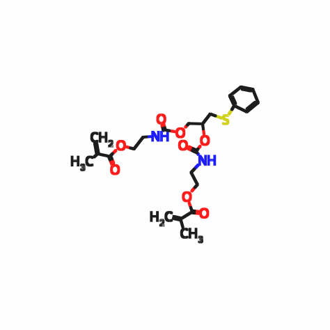 C=C(C)C(=O)OCCNC(=O)OCC(CSc1ccccc1)OC(=O)NCCOC(=O)C(=C)C